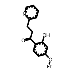 CCOc1ccc(C(=O)CCc2ccccn2)c(O)c1